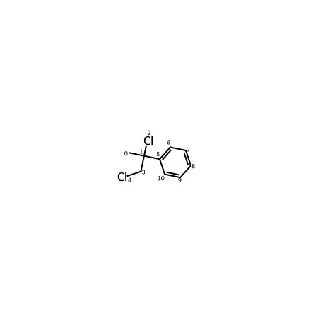 CC(Cl)(CCl)c1ccccc1